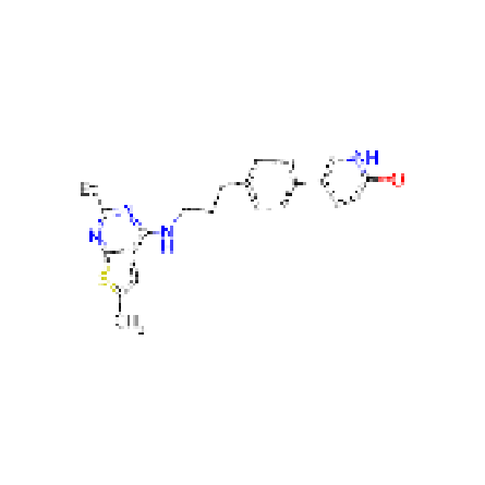 CCc1nc(NCCCc2ccc(-c3ccc(=O)[nH]c3)cc2)c2cc(C)sc2n1